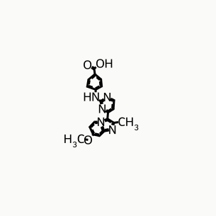 COc1ccn2c(-c3ccnc(Nc4ccc(C(=O)O)cc4)n3)c(C)nc2c1